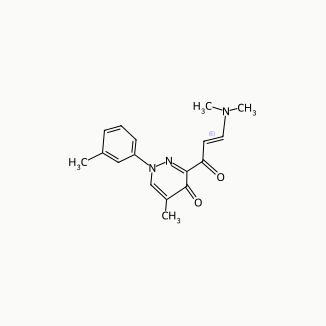 Cc1cccc(-n2cc(C)c(=O)c(C(=O)/C=C/N(C)C)n2)c1